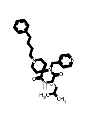 CC(C)C[C@@H]1NC(=O)C2(CCN(CCCCc3ccccc3)CC2)N(Cc2ccncc2)C1=O